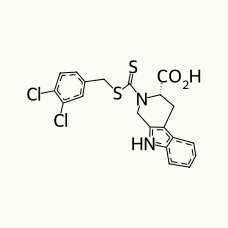 O=C(O)[C@@H]1Cc2c([nH]c3ccccc23)CN1C(=S)SCc1ccc(Cl)c(Cl)c1